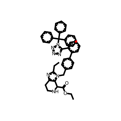 CCOC(=O)C1NCCc2nc(CC)n(Cc3ccc(-c4ccccc4-c4nnnn4C(c4ccccc4)(c4ccccc4)c4ccccc4)cc3)c21